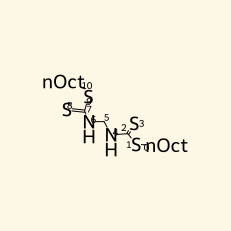 CCCCCCCCSC(=S)NCNC(=S)SCCCCCCCC